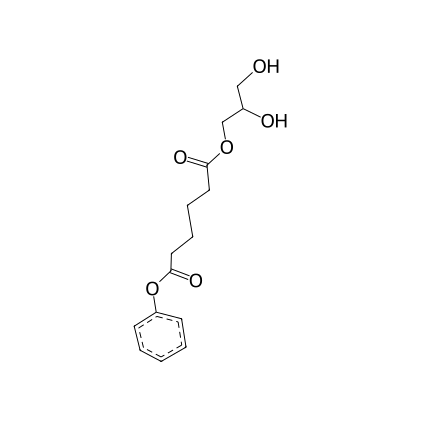 O=C(CCCCC(=O)Oc1ccccc1)OCC(O)CO